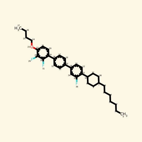 CCCCCCCC1CCC(c2ccc(-c3ccc(-c4ccc(OCCCC)c(F)c4F)cc3)cc2F)CC1